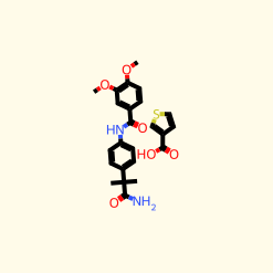 COc1ccc(C(=O)Nc2ccc(C(C)(C)C(N)=O)cc2)cc1OC.O=C(O)c1ccsc1